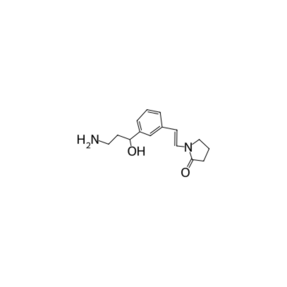 NCCC(O)c1cccc(C=CN2CCCC2=O)c1